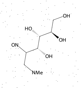 CNCC(N=O)[C@@H](O)[C@H](O)[C@H](O)CO